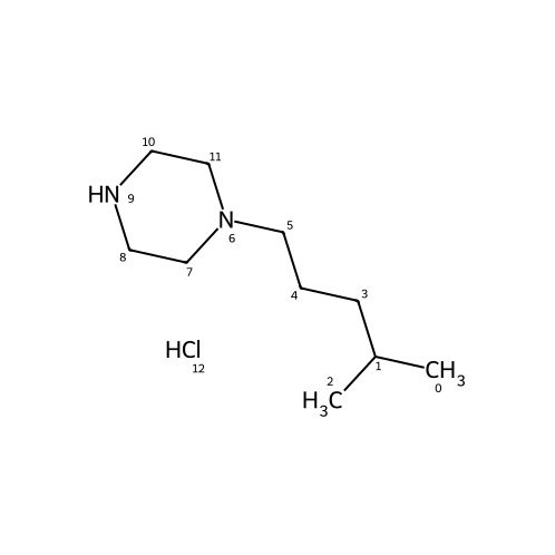 CC(C)CCCN1CCNCC1.Cl